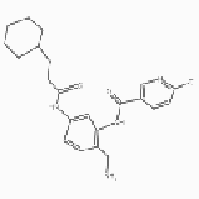 NCc1ccc(NC(=O)CCC2CCCCC2)cc1NC(=O)c1ccc(Cl)nc1